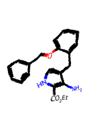 CCOC(=O)c1[nH]cc(Cc2ccccc2OCc2ccccc2)c1N